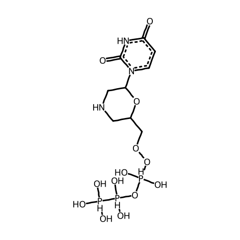 O=c1ccn(C2CNCC(COO[PH](O)(O)O[PH](O)(O)[PH](O)(O)O)O2)c(=O)[nH]1